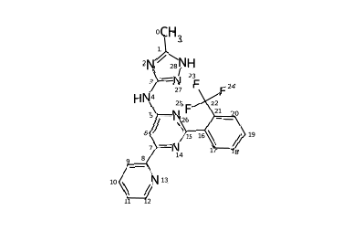 Cc1nc(Nc2cc(-c3ccccn3)nc(-c3ccccc3C(F)(F)F)n2)n[nH]1